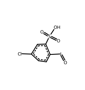 O=Ic1ccc(Cl)cc1S(=O)(=O)O